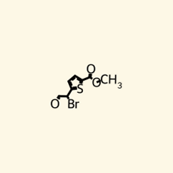 COC(=O)c1ccc(C(Br)C=O)s1